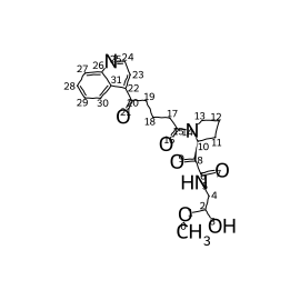 COC(O)CNC(=O)C(=O)[C@@H]1CCCN1C(=O)CCCC(=O)c1ccnc2ccccc12